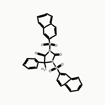 CC1(c2ccccc2)C(=O)N(S(=O)(=O)c2ccc3ccccc3c2)C(=O)N1S(=O)(=O)c1ccc2ccccc2c1